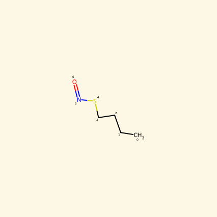 CCCCSN=O